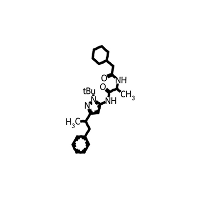 CC(NC(=O)CC1CCCCC1)C(=O)Nc1cc(C(C)Cc2ccccc2)nn1C(C)(C)C